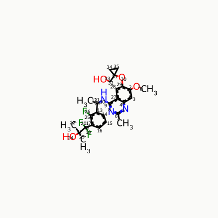 COc1cc2nc(C)nc(N[C@H](C)c3cccc(C(F)(F)C(C)(C)O)c3F)c2cc1OC1(CO)CC1